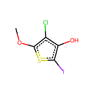 COc1sc(I)c(O)c1Cl